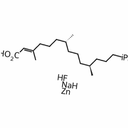 C/C(=C\C(=O)O)CCC[C@H](C)CCC[C@H](C)CCCC(C)C.F.[NaH].[Zn]